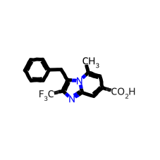 Cc1cc(C(=O)O)cc2nc(C(F)(F)F)c(Cc3ccccc3)n12